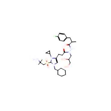 CC(Cc1ccc(F)cc1)C(=O)NN(CC(O)CO)C(=O)CCC1=CN(CC2CCCCC2)C(S(=O)(=O)CC(C)(C)N)N1C1CC1